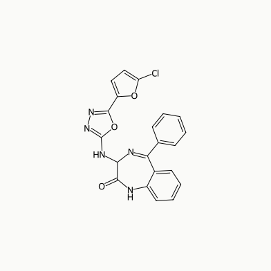 O=C1Nc2ccccc2C(c2ccccc2)=NC1Nc1nnc(-c2ccc(Cl)o2)o1